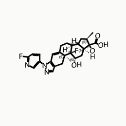 C[C@@H]1C[C@H]2[C@@H]3CCC4=Cc5c(cnn5-c5ccc(F)nc5)C[C@]4(C)[C@@]3(F)[C@@H](O)C[C@]2(C)[C@@]1(O)C(=O)O